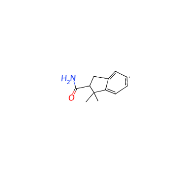 CC1(C)c2cc[c]cc2CC1C(N)=O